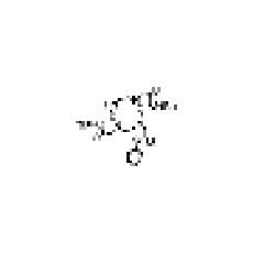 CC(C)(C)OC(=O)CN1CCNCCN(CC(=O)OC(C)(C)C)CCN(CC(=O)Oc2ccccc2)CC1